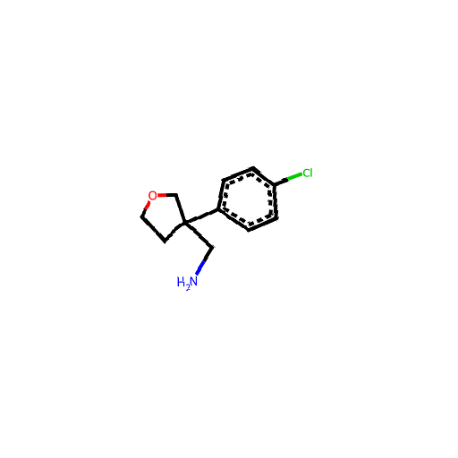 NCC1(c2ccc(Cl)cc2)CCOC1